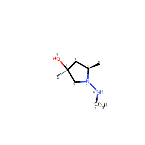 C[C@@H]1C[C@](C)(O)CN1NC(=O)O